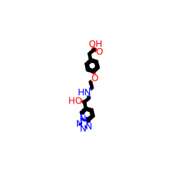 O=C(O)Cc1ccc(OCCNC[C@H](O)c2ccc3nnnn3c2)cc1